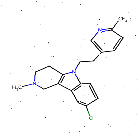 CN1CCc2c(c3cc(Cl)ccc3n2CCc2ccc(C(F)(F)F)nc2)C1